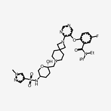 CCN(C(=O)c1cc(F)ccc1Oc1cncnc1N1CC2(CCN(C[C@@]3(O)CC[C@@H](NS(=O)(=O)c4cnn(C)c4)CO3)CC2)C1)C(C)C